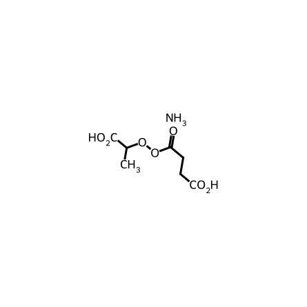 CC(OOC(=O)CCC(=O)O)C(=O)O.N